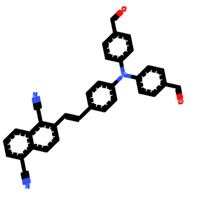 N#Cc1cccc2c(C#N)c(C=Cc3ccc(N(c4ccc(C=O)cc4)c4ccc(C=O)cc4)cc3)ccc12